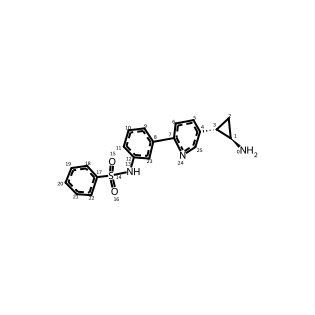 N[C@@H]1C[C@H]1c1ccc(-c2cccc(NS(=O)(=O)c3ccccc3)c2)nc1